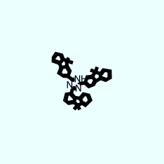 CC1(C)c2ccccc2-c2ccc(C3=NC(c4cccc5c4-c4ccccc4C5(C)C)=NC(c4ccc5c(c4)C(C)(C)c4ccccc4-5)N3)cc21